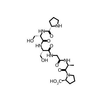 C[C@H](NC(=O)CNC(=O)[C@H](CO)NC(=O)[C@H](CO)NC(=O)[C@@H]1CCCN1)C(=O)N1CCC[C@H]1C(=O)O